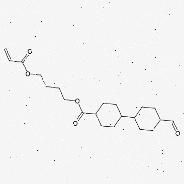 C=CC(=O)OCCCCOC(=O)C1CCC(C2CCC(C=O)CC2)CC1